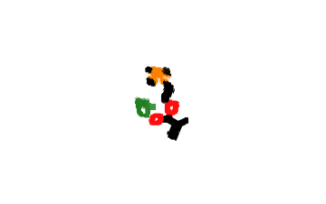 C=C(C)C(=O)OCC[P+](C)(C)C.[Cl-]